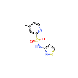 Cc1ccnc(S(=O)(=O)Nc2ccsn2)c1